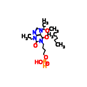 CCCC.CCn1c(=O)n(CCCCO[PH](=O)O)c(=O)c2c1ncn2C(C)OC